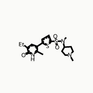 CCc1cc(-c2ccc(S(=O)(=O)N(C)C3CCN(C)CC3)s2)c(C)[nH]c1=O